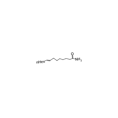 CCCCCCC=CCCCCCCC(N)=O